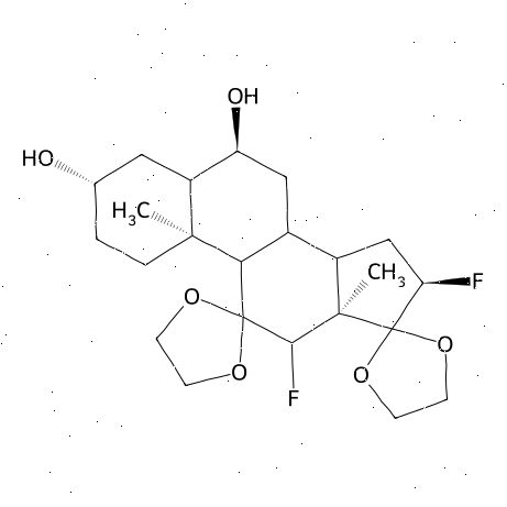 C[C@]12CC[C@H](O)CC1[C@@H](O)CC1C2C2(OCCO2)C(F)[C@@]2(C)C1C[C@@H](F)C21OCCO1